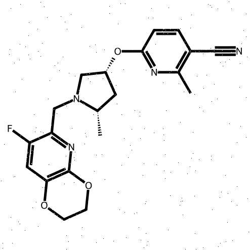 Cc1nc(O[C@@H]2C[C@H](C)N(Cc3nc4c(cc3F)OCCO4)C2)ccc1C#N